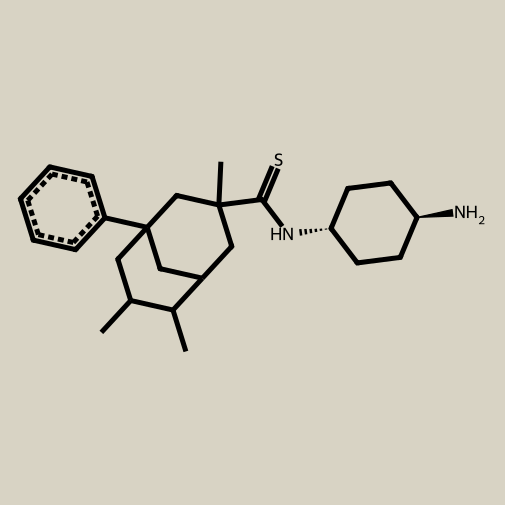 CC1CC2(c3ccccc3)CC(CC(C)(C(=S)N[C@H]3CC[C@H](N)CC3)C2)C1C